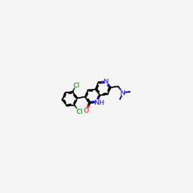 CN(C)Cc1cc2[nH]c(=O)c(-c3c(Cl)cccc3Cl)cc2cn1